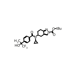 CC(C)(C)OC(=O)n1cc2c(n1)CCC(N(C(=O)c1ccc(C(C)(O)C(F)(F)F)cc1)C1CC1)C2